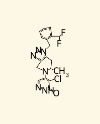 C[C@@H]1Cc2c(nnn2Cc2ccccc2C(F)F)CN1c1cn[nH]c(=O)c1Cl